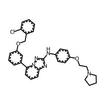 Clc1ccccc1COc1cccc(-c2cccc3nc(Nc4ccc(OCCN5CCCC5)cc4)nn23)c1